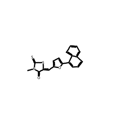 CN1C(=O)C(=Cc2ccc(-c3cccc4ccccc34)o2)SC1=S